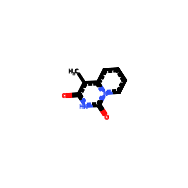 Cc1c(=O)[nH]c(=O)n2ccccc12